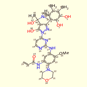 Bc1c(B)c(O)c(O)c(-c2nn(-c3ccnc(Nc4cc(NC(=O)C=C)c(N5CCOCC5)cc4OC)n3)c(O)c2C(B)(O)N(C)C)c1B